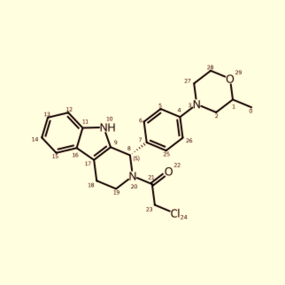 CC1CN(c2ccc([C@H]3c4[nH]c5ccccc5c4CCN3C(=O)CCl)cc2)CCO1